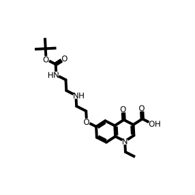 CCn1cc(C(=O)O)c(=O)c2cc(OCCNCCNC(=O)OC(C)(C)C)ccc21